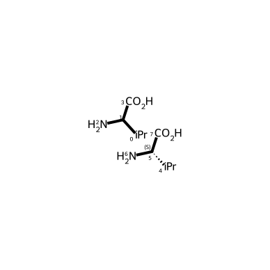 CC(C)C(N)C(=O)O.CC(C)[C@H](N)C(=O)O